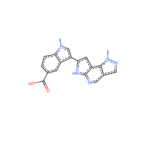 Cn1cc(-c2cc3c(ncc4cnn(C)c43)[nH]2)c2cc(C(=O)O)ccc21